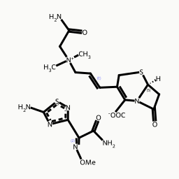 CO/N=C(\C(N)=O)c1nsc(N)n1.C[N+](C)(C/C=C/C1=C(C(=O)[O-])N2C(=O)C[C@@H]2SC1)CC(N)=O